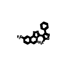 Cc1onc(-c2ccccc2)c1-c1nnc2c3cc(C(F)(F)F)ccc3cnn12